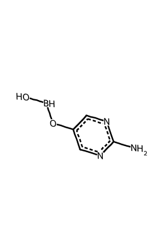 Nc1ncc(OBO)cn1